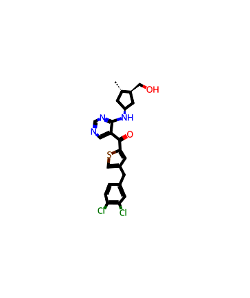 C[C@H]1C[C@H](Nc2ncncc2C(=O)c2cc(Cc3ccc(Cl)c(Cl)c3)cs2)C[C@@H]1CO